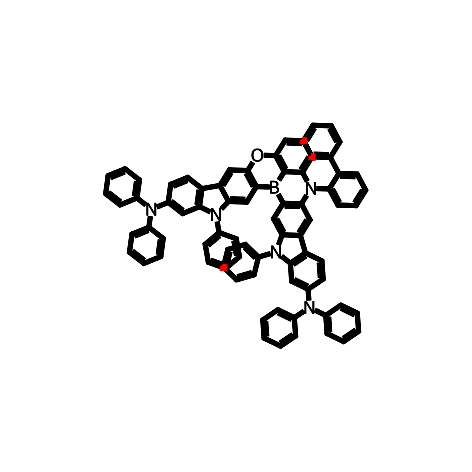 c1ccc(-c2ccccc2N2c3cc4c5ccc(N(c6ccccc6)c6ccccc6)cc5n(-c5ccccc5)c4cc3B3c4cc5c(cc4Oc4cccc2c43)c2ccc(N(c3ccccc3)c3ccccc3)cc2n5-c2ccccc2)cc1